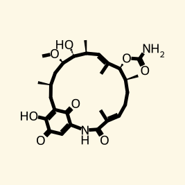 CO[C@H]1C[C@H](C)CC2=C(O)C(=O)C=C(NC(=O)/C(C)=C/CC[C@H](C)[C@@H](OC(N)=O)/C(C)=C/[C@H](C)[C@H]1O)C2=O